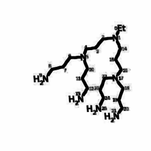 CCN(CCCN(CCCN)CCCN)CCCN(CCCN)CCCN